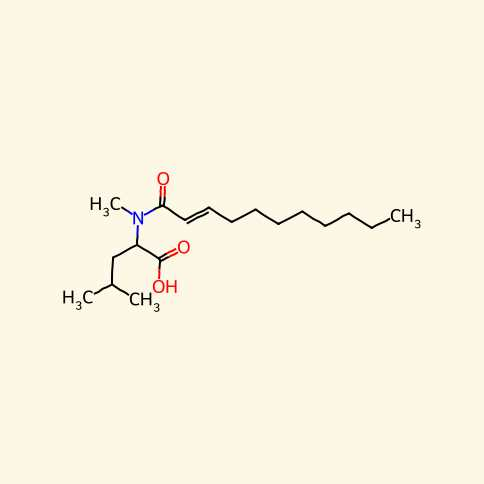 CCCCCCCCC=CC(=O)N(C)C(CC(C)C)C(=O)O